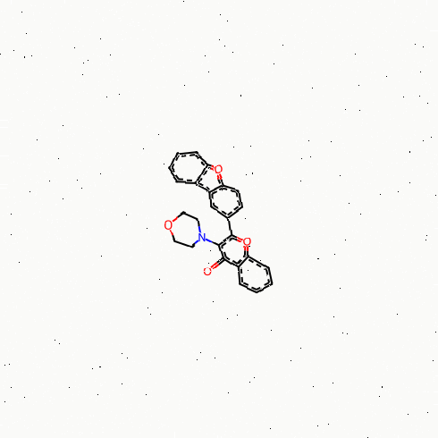 O=c1c(N2CCOCC2)c(-c2ccc3oc4ccccc4c3c2)oc2ccccc12